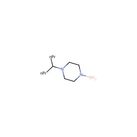 BN1CCN(C(CCC)CCC)CC1